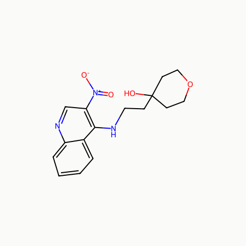 O=[N+]([O-])c1cnc2ccccc2c1NCCC1(O)CCOCC1